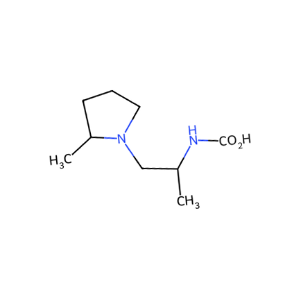 CC(CN1CCCC1C)NC(=O)O